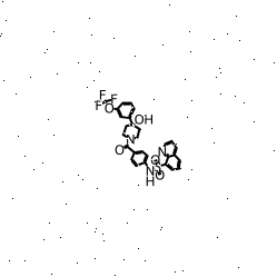 O=C(c1ccc(NS(=O)(=O)c2cccc3cccnc23)cc1)N1CCC(O)(c2cccc(OC(F)(F)F)c2)CC1